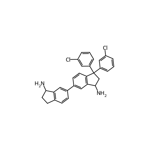 NC1CCc2ccc(-c3ccc4c(c3)C(N)CC4(c3cccc(Cl)c3)c3cccc(Cl)c3)cc21